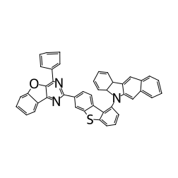 C1=CC2c3cc4ccccc4cc3N(c3cccc4sc5cc(-c6nc(-c7ccccc7)c7oc8ccccc8c7n6)ccc5c34)C2C=C1